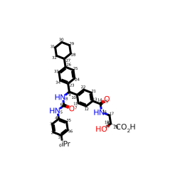 CC(C)c1ccc(NC(=O)NC(c2ccc(C(=O)NC[C@@H](O)C(=O)O)cc2)c2ccc(C3CCCCC3)cc2)cc1